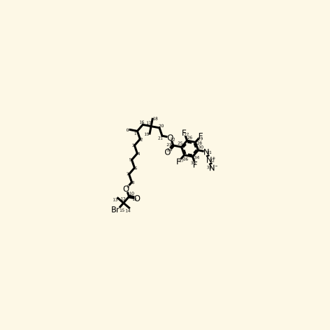 CC(CCCCCCCOC(=O)C(C)(C)Br)CC(C)(C)CCOC(=O)c1c(F)c(F)c(N=[N+]=[N-])c(F)c1F